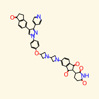 O=C1CCC(C2C(=O)c3ccc(N4CC(N5CC(Oc6ccc(-n7cc(-c8ccc9c(c8)CCC9=O)c(-c8ccncc8)n7)cc6)C5)C4)cc3C2=O)C(=O)N1